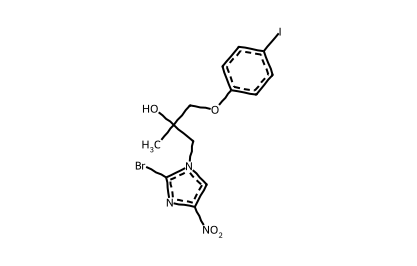 CC(O)(COc1ccc(I)cc1)Cn1cc([N+](=O)[O-])nc1Br